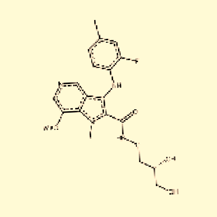 COc1cncc2c(Nc3ccc(I)cc3F)c(C(=O)NOC[C@H](O)CO)n(C)c12